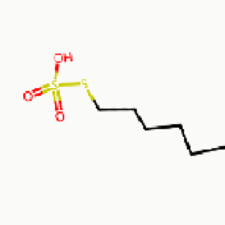 CCCCCCSS(=O)(=O)O